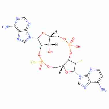 Nc1ncnc2c1ncn2[C@@H]1O[C@@H]2COP(=O)(O)OC3[C@@H](COP(=O)(S)OC1[C@H]2O)O[C@@H](n1cnc2c(N)ccnc21)[C@H]3F